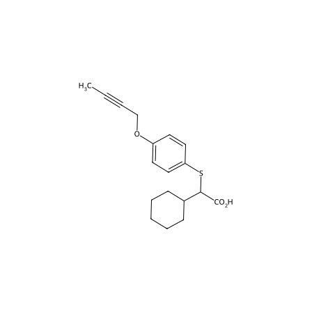 CC#CCOc1ccc(SC(C(=O)O)C2CCCCC2)cc1